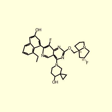 CCc1cccc2cc(O)cc(-c3ncc4c(N5CCC(O)C6(CC6)C5)nc(OC[C@@]56CCCN5C[C@H](F)C6)nc4c3F)c12